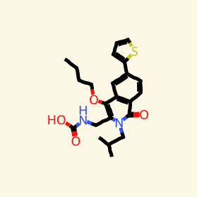 CCCCOc1c(CNC(=O)O)n(CC(C)C)c(=O)c2ccc(-c3cccs3)cc12